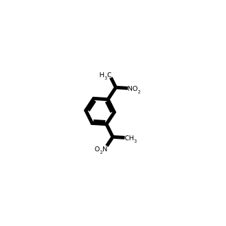 CC(c1cccc(C(C)[N+](=O)[O-])c1)[N+](=O)[O-]